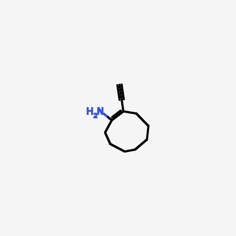 C#C/C1=C(\N)CCCCCCC1